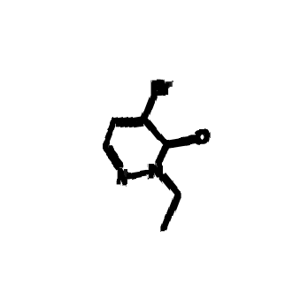 CCn1nccc(Br)c1=O